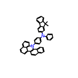 CC1(C)c2ccccc2-c2ccc(N(c3ccccc3)c3ccc(N4c5c(ccc6ccccc56)-c5cccc6cccc4c56)cc3)cc21